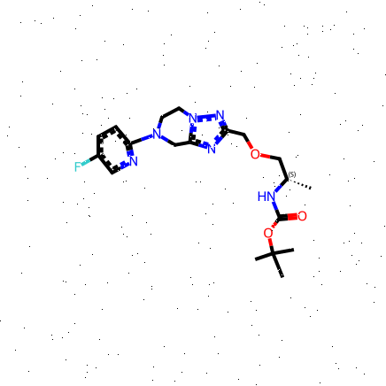 C[C@@H](COCc1nc2n(n1)CCN(c1ccc(F)cn1)C2)NC(=O)OC(C)(C)C